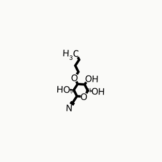 CCCCOC1C(O)[C@H](O)OC(C#N)[C@H]1O